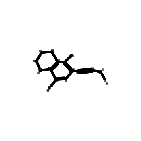 Cc1c(C#CSI)cc(F)c2c1CCCO2